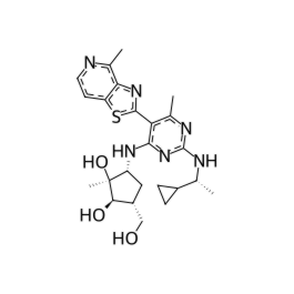 Cc1nc(N[C@H](C)C2CC2)nc(N[C@@H]2C[C@H](CO)[C@@H](O)[C@@]2(C)O)c1-c1nc2c(C)nccc2s1